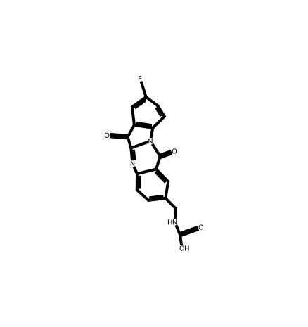 O=C(O)NCc1ccc2nc3n(c(=O)c2c1)-c1ccc(F)cc1C3=O